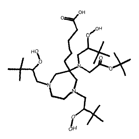 CC(C)(C)OC(=O)CN(CC(OO)C(C)(C)C)C1(CCCCC(=O)O)CN(CC(OO)C(C)(C)C)CCN(CC(OO)C(C)(C)C)C1